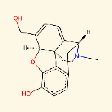 CN1CC[C@@]23C4=CC=C(CO)[C@@H]2Oc2c(O)ccc(c23)C[C@H]41